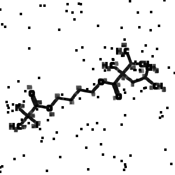 CC(C)CC(C)(C(=O)OCCCCOC(=O)C(C)(F)F)C(C)C